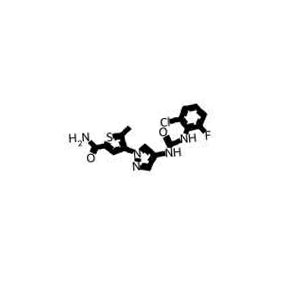 Cc1sc(C(N)=O)cc1-n1cc(NC(=O)Nc2c(F)cccc2Cl)cn1